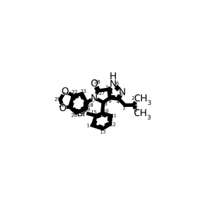 CC(C)Cc1n[nH]c2c1C(c1ccccc1Br)N(c1ccc3c(c1)OCO3)C2=O